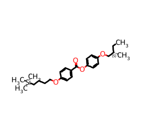 CC[C@H](C)COc1ccc(OC(=O)c2ccc(OCCCC[Si](C)(C)C)cc2)cc1